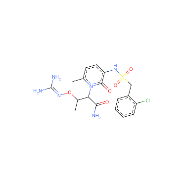 Cc1ccc(NS(=O)(=O)Cc2ccccc2Cl)c(=O)n1C(C(N)=O)C(C)ON=C(N)N